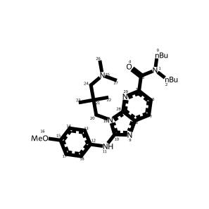 CCCCN(CCCC)C(=O)c1ccc2nc(Nc3ccc(OC)cc3)n(CC(C)(C)CN(C)C)c2n1